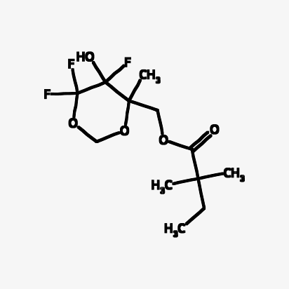 CCC(C)(C)C(=O)OCC1(C)OCOC(F)(F)C1(O)F